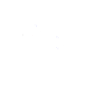 COc1cc(CN2CC(=O)N(c3ccc(OC(F)(F)F)cc3)C2=O)c2ccccc2n1